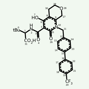 CC(C)(C)C(NC(=O)c1c(O)c2c(n(Cc3ccc(-c4ccc(C(F)(F)F)cc4)cc3)c1=O)COCC2)C(=O)O